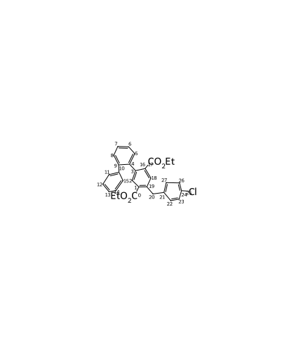 CCOC(=O)c1cc(-c2ccccc2-c2ccccc2)c(C(=O)OCC)cc1Cc1ccc(Cl)cc1